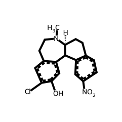 CN1CCc2cc(Cl)c(O)cc2C2c3cc([N+](=O)[O-])ccc3CC[C@@H]21